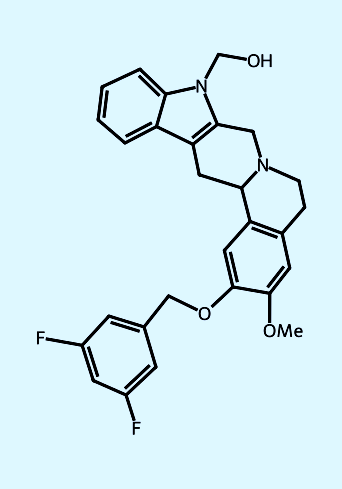 COc1cc2c(cc1OCc1cc(F)cc(F)c1)C1Cc3c(n(CO)c4ccccc34)CN1CC2